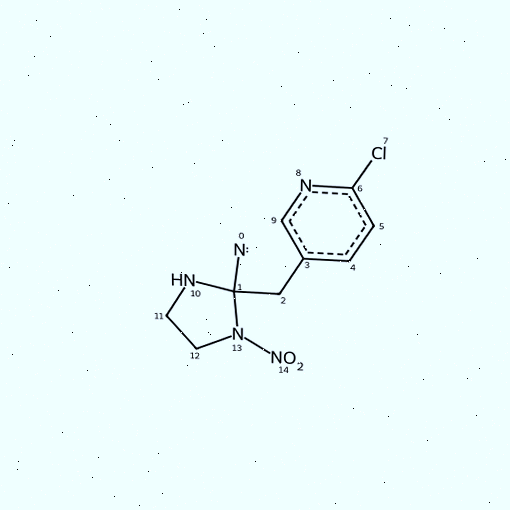 [N]C1(Cc2ccc(Cl)nc2)NCCN1[N+](=O)[O-]